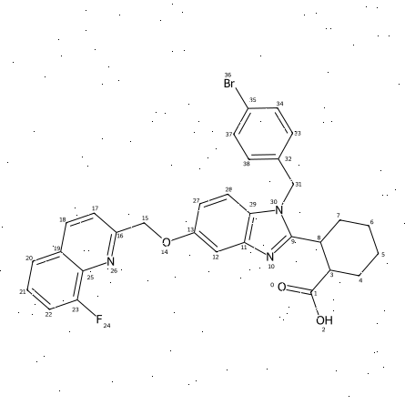 O=C(O)C1CCCCC1c1nc2cc(OCc3ccc4cccc(F)c4n3)ccc2n1Cc1ccc(Br)cc1